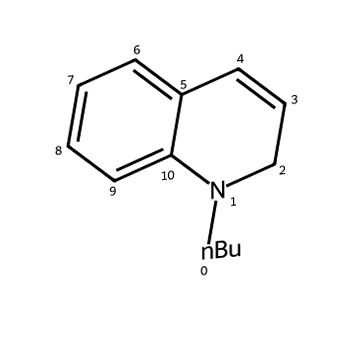 CCCCN1CC=Cc2ccccc21